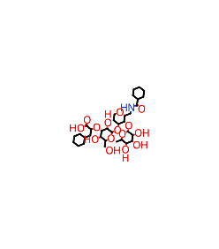 CC1OC(OC2C(CNC(=O)C3CCCCC3)OCCC2OC2OC(CO)C(O)C(OC(CC3CCCCC3)C(=O)O)C2O)C(O)C(O)C1O